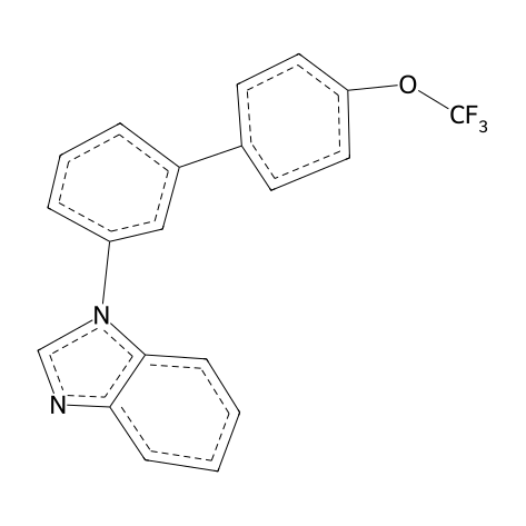 FC(F)(F)Oc1ccc(-c2cccc(-n3cnc4ccccc43)c2)cc1